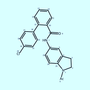 CC(=O)N1CCc2cc(NC(=O)c3ccccc3-c3ccc(Cl)cc3)ccc21